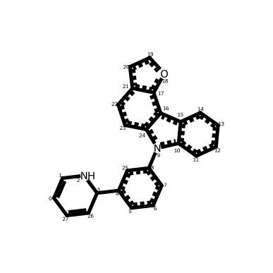 C1=CNC(c2cccc(-n3c4ccccc4c4c5occc5ccc43)c2)C=C1